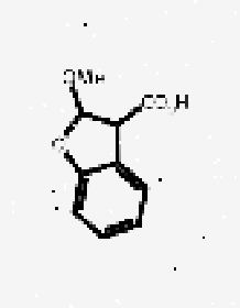 COC1Oc2ccccc2C1C(=O)O